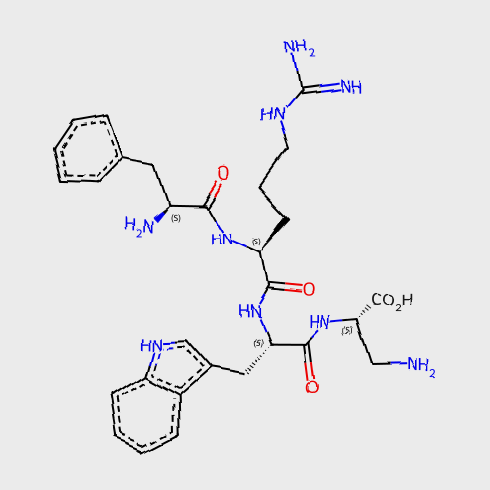 N=C(N)NCCC[C@H](NC(=O)[C@@H](N)Cc1ccccc1)C(=O)N[C@@H](Cc1c[nH]c2ccccc12)C(=O)N[C@@H](CN)C(=O)O